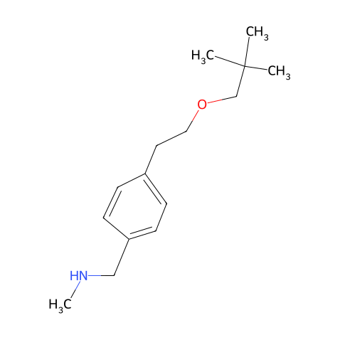 CNCc1ccc(CCOCC(C)(C)C)cc1